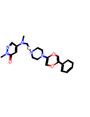 CN(CCN1CCN(C2=COC(C3=CC=CCC3)=CO2)CC1)c1cnn(C)c(=O)c1